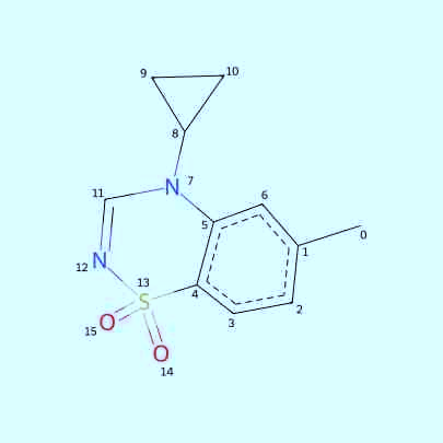 Cc1ccc2c(c1)N(C1CC1)C=NS2(=O)=O